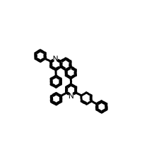 C1=CC(c2cc(-c3ccc4ccc5nc(-c6ccccc6)cc(-c6ccccc6)c5c4c3)cc(-c3ccccc3)n2)CC=C1c1ccccc1